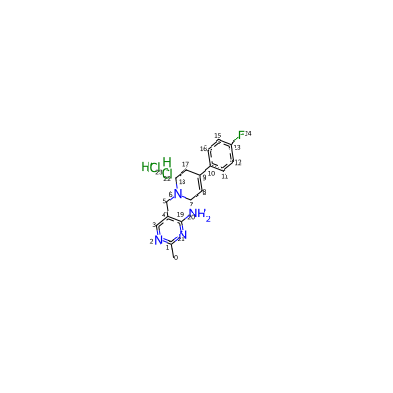 Cc1ncc(CN2CC=C(c3ccc(F)cc3)CC2)c(N)n1.Cl.Cl